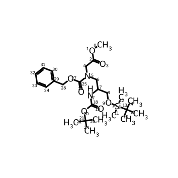 COC(=O)CN(CC(CO[Si](C)(C)C(C)(C)C)NC(=O)OC(C)(C)C)C(=O)OCc1ccccc1